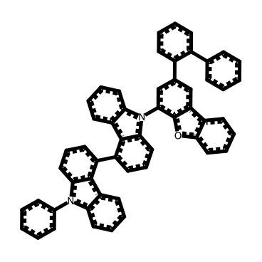 c1ccc(-c2ccccc2-c2cc(-n3c4ccccc4c4c(-c5cccc6c5c5ccccc5n6-c5ccccc5)cccc43)c3oc4ccccc4c3c2)cc1